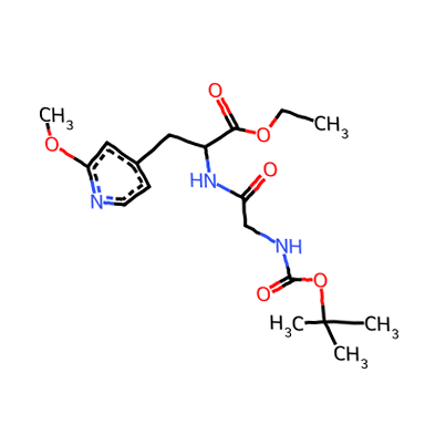 CCOC(=O)C(Cc1ccnc(OC)c1)NC(=O)CNC(=O)OC(C)(C)C